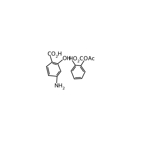 CC(=O)Oc1ccccc1C(=O)O.Nc1ccc(C(=O)O)c(O)c1